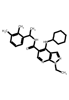 CCn1ncc2c(NC3CCCCC3)c(C(=O)NC(C)c3cccc(C)c3C)cnc21